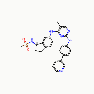 Cc1cnc(Nc2ccc(-c3cccnc3)cc2)nc1Nc1ccc2c(c1)[C@H](NS(C)(=O)=O)CC2